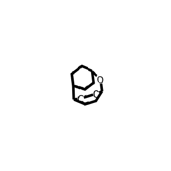 C1CC2CCC1OC1CCC2CC1